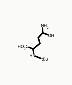 CC(C)(C)NC(CCC(N)O)C(=O)O